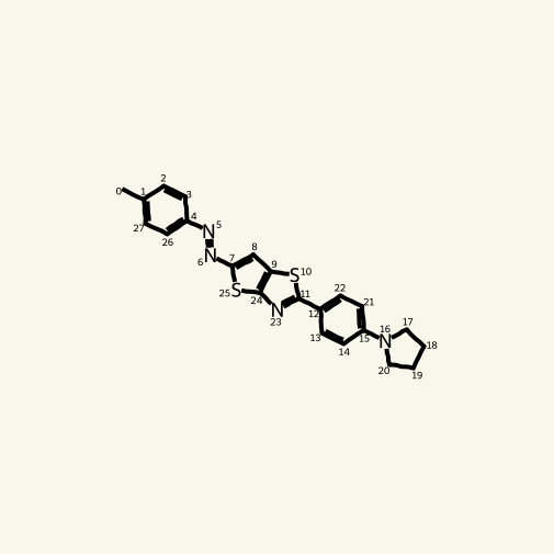 Cc1ccc(N=Nc2cc3sc(-c4ccc(N5CCCC5)cc4)nc3s2)cc1